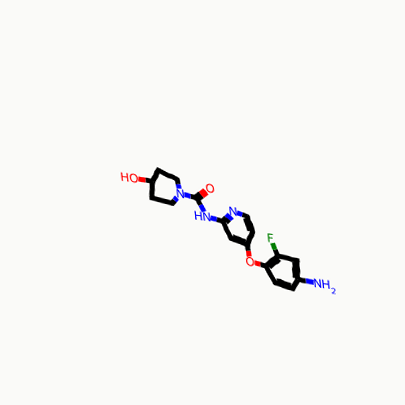 Nc1ccc(Oc2ccnc(NC(=O)N3CCC(O)CC3)c2)c(F)c1